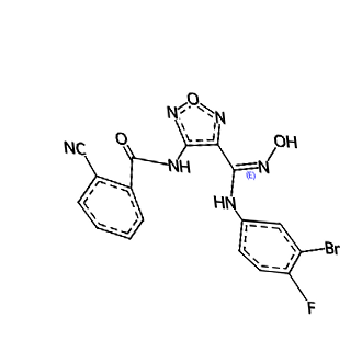 N#Cc1ccccc1C(=O)Nc1nonc1/C(=N\O)Nc1ccc(F)c(Br)c1